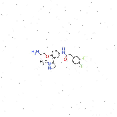 Cn1nccc1-c1cc(NC(=O)Cc2ccc(F)c(F)c2)ccc1OCCN